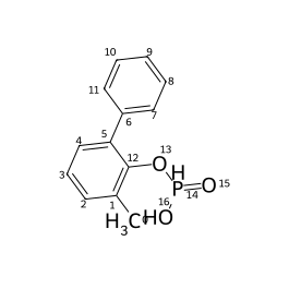 Cc1cccc(-c2ccccc2)c1O[PH](=O)O